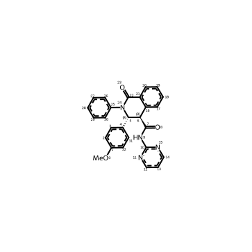 COc1ccc([C@H]2[C@H](C(=O)Nc3ncccn3)c3ccccc3C(=O)N2c2ccccc2)cc1